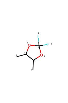 CC1OC(F)(F)OC1C